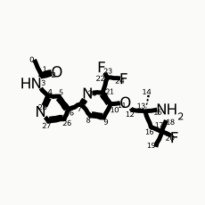 CC(=O)Nc1cc(-c2ccc(OC[C@@](C)(N)CC(C)(C)F)c(C(F)F)n2)ccn1